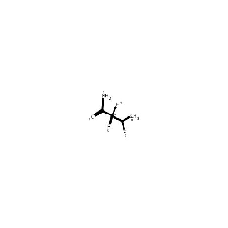 CC(F)C(F)(F)C(N)=O